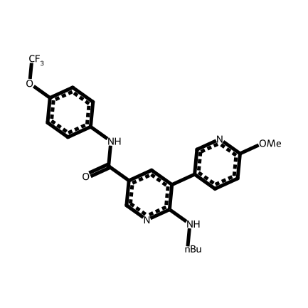 CCCCNc1ncc(C(=O)Nc2ccc(OC(F)(F)F)cc2)cc1-c1ccc(OC)nc1